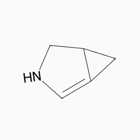 C1=C2CC2CN1